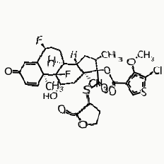 COc1c(C(=O)O[C@]2(C(=O)S[C@H]3CCOC3=O)[C@H](C)C[C@H]3[C@@H]4C[C@H](F)C5=CC(=O)C=C[C@]5(C)[C@@]4(F)[C@@H](O)C[C@@]32C)csc1Cl